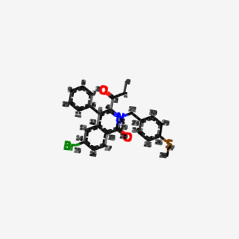 CCC(=O)c1c(-c2ccccc2)c2cc(Br)ccc2c(=O)n1Cc1ccc(SC)cc1